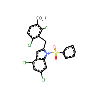 O=C(O)c1ccc(Cl)c(Cc2cc3c(Cl)cc(Cl)cc3n2S(=O)(=O)c2ccccc2)c1Cl